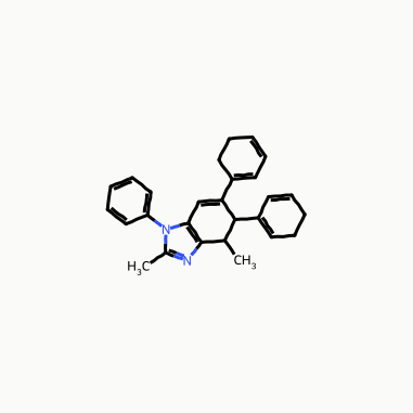 Cc1nc2c(n1-c1ccccc1)C=C(C1=CC=CCC1)C(C1=CCCC=C1)C2C